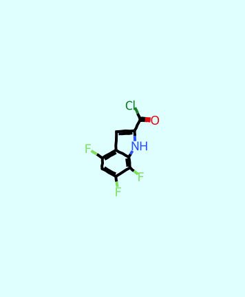 O=C(Cl)c1cc2c(F)cc(F)c(F)c2[nH]1